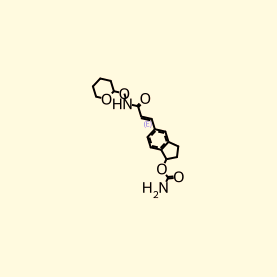 NC(=O)OC1CCc2cc(/C=C/C(=O)NOC3CCCCO3)ccc21